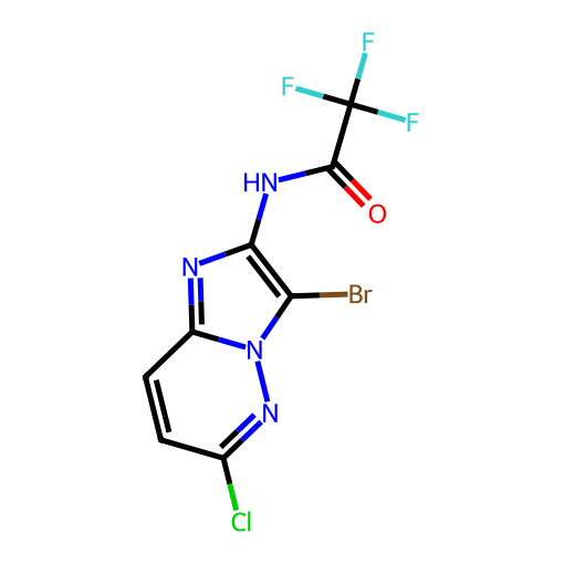 O=C(Nc1nc2ccc(Cl)nn2c1Br)C(F)(F)F